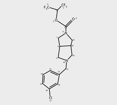 O=C(OC(C(F)(F)F)C(F)(F)F)N1CC2CN(Cc3cccc(Cl)c3)CC2C1